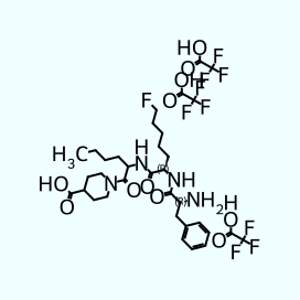 CCCCC(NC(=O)[C@@H](CCCCCF)NC(=O)[C@H](N)Cc1ccccc1)C(=O)N1CCC(C(=O)O)CC1.O=C(O)C(F)(F)F.O=C(O)C(F)(F)F.O=C(O)C(F)(F)F